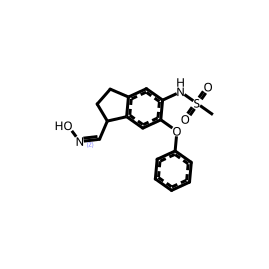 CS(=O)(=O)Nc1cc2c(cc1Oc1ccccc1)C(/C=N\O)CC2